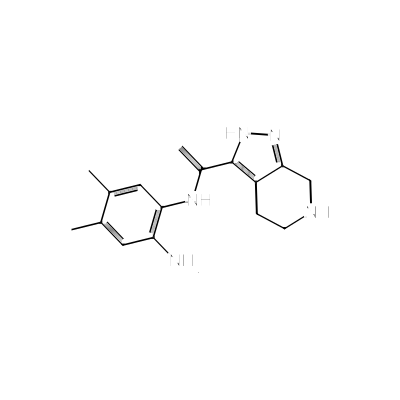 C=C(Nc1cc(C)c(C)cc1N)c1[nH]nc2c1CCNC2